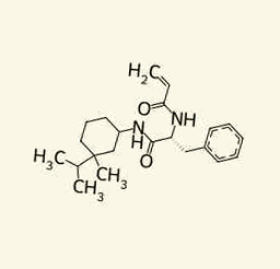 C=CC(=O)N[C@H](Cc1ccccc1)C(=O)NC1CCCC(C)(C(C)C)C1